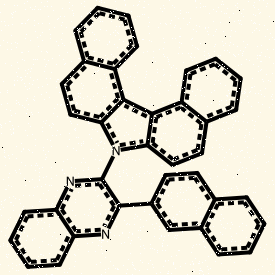 c1ccc2cc(-c3nc4ccccc4nc3-n3c4ccc5ccccc5c4c4c5ccccc5ccc43)ccc2c1